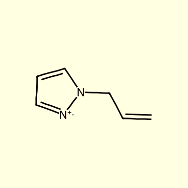 C=CCN1C=CC=[N+]1